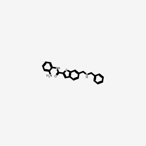 Nc1ccccc1NC(=O)c1cc2ccc(CNCc3ccccc3)cc2s1